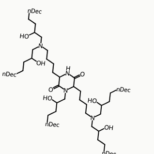 CCCCCCCCCCCCC(O)CN(CCCCC1NC(=O)C(CCCCN(CC(O)CCCCCCCCCCCC)CC(O)CCCCCCCCCCCC)N(CC(O)CCCCCCCCCCCC)C1=O)CC(O)CCCCCCCCCCCC